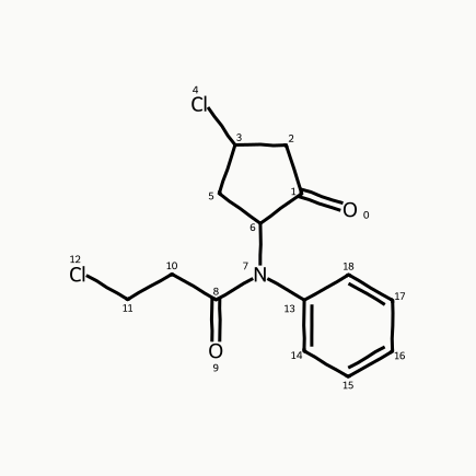 O=C1CC(Cl)CC1N(C(=O)CCCl)c1ccccc1